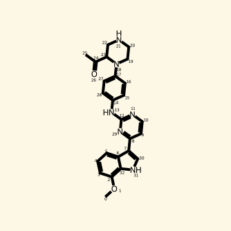 COc1cccc2c(-c3ccnc(Nc4ccc(N5CCNCC5C(C)=O)cc4)n3)c[nH]c12